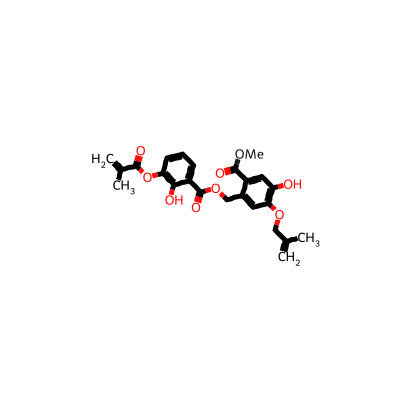 C=C(C)COc1cc(COC(=O)c2cccc(OC(=O)C(=C)C)c2O)c(C(=O)OC)cc1O